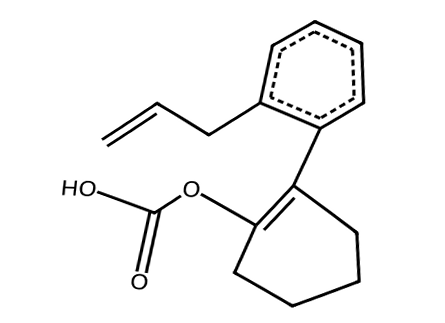 C=CCc1ccccc1C1=C(OC(=O)O)CCCC1